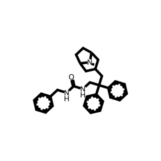 CN1C2CCC1CC(CC(CNC(=O)NCc1ccccc1)(c1ccccc1)c1ccccc1)C2